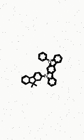 CC1(C)C2CC(n3c4ccccc4c4cc5c6ccccc6n(-c6ccccc6)c5cc43)=CC=C2C2C=CC=CC21